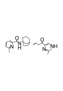 CC1=NC(C(=O)C/C=C/[C@]23CCC[C@](NC(=O)c4cccc(C)n4)(CC2)C3)=CNC1